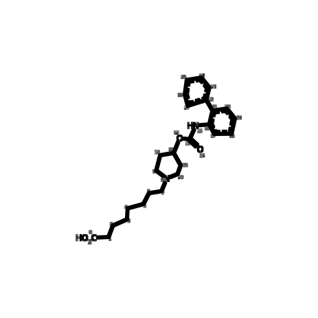 O=C(O)CCCCCCCN1CCC(OC(=O)Nc2ccccc2-c2ccccc2)CC1